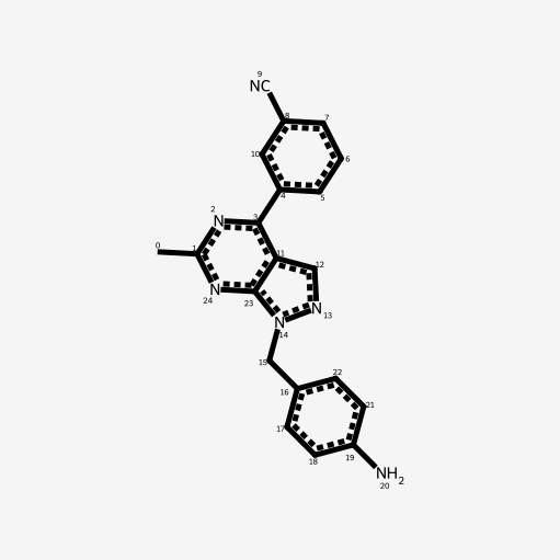 Cc1nc(-c2cccc(C#N)c2)c2cnn(Cc3ccc(N)cc3)c2n1